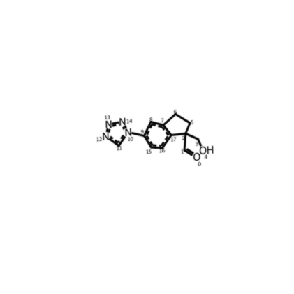 O=CC1(CO)CCc2cc(-n3cnnn3)ccc21